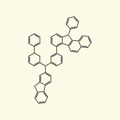 C1=CC(c2ccccc2)CC(N(c2cccc(-c3cccc4c3c3ccc5ccccc5c3n4-c3ccccc3)c2)c2ccc3c(c2)oc2ccccc23)=C1